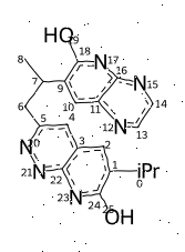 CC(C)c1cc2cc(CC(C)c3cc4nccnc4nc3O)nnc2nc1O